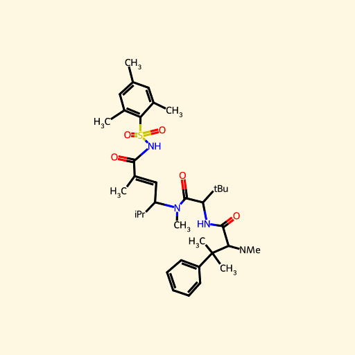 CNC(C(=O)NC(C(=O)N(C)C(C=C(C)C(=O)NS(=O)(=O)c1c(C)cc(C)cc1C)C(C)C)C(C)(C)C)C(C)(C)c1ccccc1